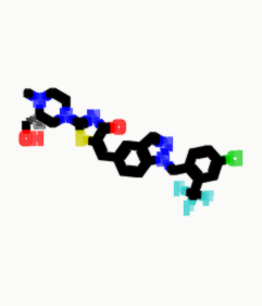 CN1CCN(C2=NC(=O)C(=Cc3ccc4c(cnn4Cc4ccc(Cl)cc4C(F)(F)F)c3)S2)C[C@@H]1CO